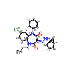 CC(C)CCn1c(=O)c(=NN)c(=O)n(-c2ccccc2)c2cc(Cl)ccc21.c1cc2cc-2c1